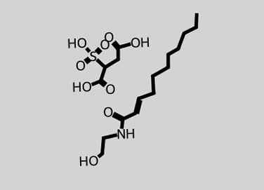 CCCCCCCCC=CC(=O)NCCO.O=C(O)CC(C(=O)O)S(=O)(=O)O